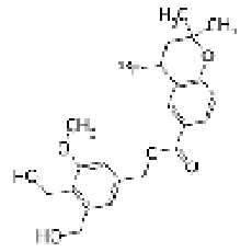 COc1cc(COC(=O)c2ccc3c(c2)C([18F])CC(C)(C)O3)cc(CO)c1CO